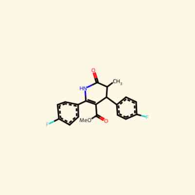 COC(=O)C1=C(c2ccc(F)cc2)NC(=O)C(C)C1c1ccc(F)cc1